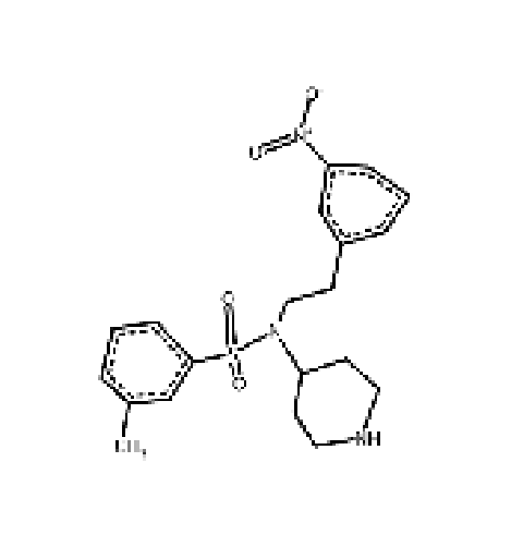 Cc1cccc(S(=O)(=O)N(CCc2cccc([N+](=O)[O-])c2)C2CCNCC2)c1